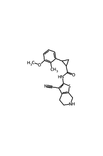 COc1cccc(C2CC2C(=O)Nc2sc3c(c2C#N)CCNC3)c1C